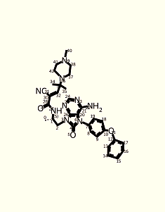 C[C@@H](Cn1c(=O)n(-c2ccc(Oc3ccccc3)cc2)c2c(N)ncnc21)NC(=O)C(C#N)=CC(C)(C)N1CCN(C)CC1